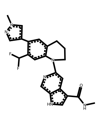 CNC(=O)c1c[nH]c2cnc(N3CCCc4cc(-c5cnn(C)c5)c(C(F)F)cc43)cc12